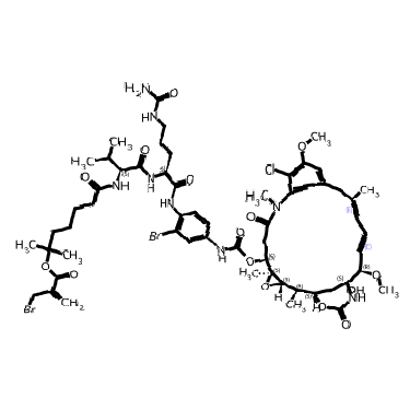 C=C(CBr)C(=O)OC(C)(C)CCCCC(=O)N[C@H](C(=O)N[C@@H](CCCNC(N)=O)C(=O)Nc1ccc(NC(=O)O[C@H]2CC(=O)N(C)c3cc(cc(OC)c3Cl)C/C(C)=C/C=C/[C@@H](OC)[C@@]3(O)C[C@H](OC(=O)N3)[C@@H](C)[C@@H]3O[C@@]23C)cc1Br)C(C)C